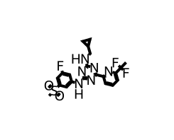 CC(F)(F)c1cccc(-c2nc(NCC3CC3)nc(Nc3cc(F)cc(S(C)(=O)=O)c3)n2)n1